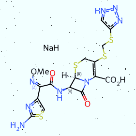 CO/N=C(\C(=O)N[C@@H]1C(=O)N2C(C(=O)O)=C(SCSc3c[nH]nn3)CS[C@H]12)c1csc(N)n1.[NaH]